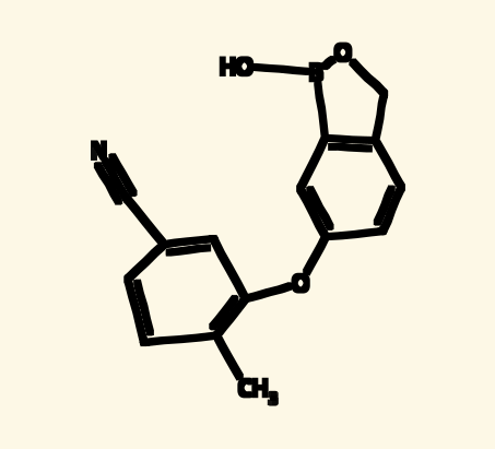 Cc1ccc(C#N)cc1Oc1ccc2c(c1)B(O)OC2